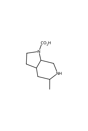 CC1CC2CCN(C(=O)O)C2CN1